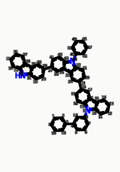 c1ccc(-c2cccc(-n3c4ccccc4c4cc(-c5ccc6c(c5)c5cc(-c7ccc8[nH]c9ccccc9c8c7)ccc5n6-c5ccccc5)ccc43)c2)cc1